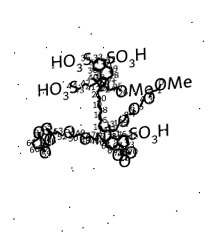 COCCOCCOCCOCCC1(C)\C(=C/C=C/C=C/C=C/C2=[N+](CCOC)c3ccc4c(S(=O)(=O)O)cc(S(=O)(=O)O)cc4c3C2(C)CCCS(=O)(=O)O)N(CCOCCOCCC(=O)ON2C(=O)CCC2=O)c2ccc3c(S(=O)(=O)[O-])cc(S(=O)(=O)O)cc3c21